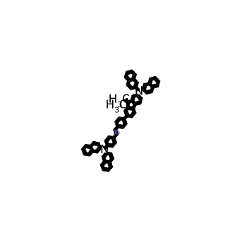 CC1(C)c2cc(-c3ccc(/C=C/c4ccc(N(c5ccc6ccccc6c5)c5ccc6ccccc6c5)cc4)cc3)ccc2-c2ccc(N(c3ccc4ccccc4c3)c3ccc4ccccc4c3)cc21